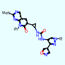 CNc1ncc2cc(C3CC3NC(=O)Nc3cn(C(C)(C)C)nc3-c3cnoc3)c(=O)n(C(C)C)c2n1